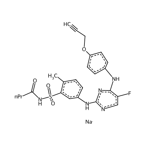 C#CCOc1ccc(Nc2nc(Nc3ccc(C)c(S(=O)(=O)NC(=O)CCC)c3)ncc2F)cc1.[Na]